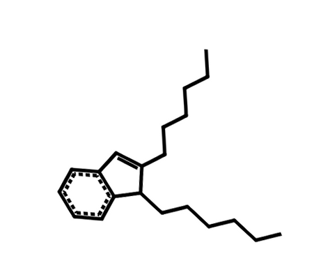 CCCCCCC1=Cc2ccccc2C1CCCCCC